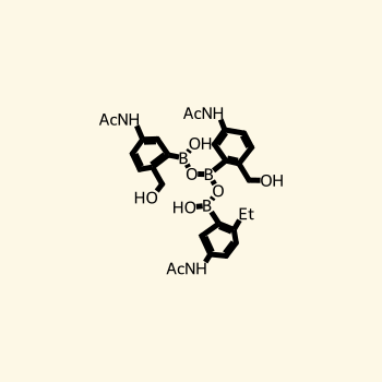 CCc1ccc(NC(C)=O)cc1B(O)OB(OB(O)c1cc(NC(C)=O)ccc1CO)c1cc(NC(C)=O)ccc1CO